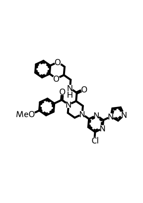 COc1ccc(C(=O)N2CCN(c3cc(Cl)nc(-n4ccnc4)n3)CC2C(=O)NCC2COc3ccccc3O2)cc1